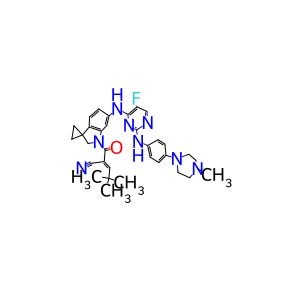 CN1CCN(c2ccc(Nc3ncc(F)c(Nc4ccc5c(c4)N(C(=O)/C(C#N)=C/C(C)(C)C)CC54CC4)n3)cc2)CC1